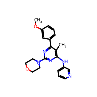 COc1cccc(-c2nc(N3CCOCC3)nc(Nc3cccnc3)c2C)c1